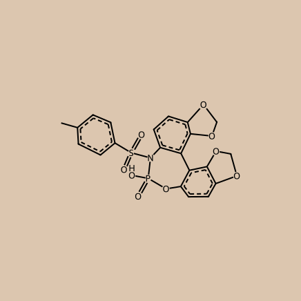 Cc1ccc(S(=O)(=O)N2c3ccc4c(c3-c3c(ccc5c3OCO5)OP2(=O)O)OCO4)cc1